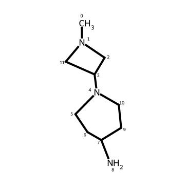 CN1CC(N2CCC(N)CC2)C1